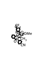 COC(CN(C(=O)Cc1ccc(OC(F)(F)F)cc1)[C@H](C)c1nc2ccccc2c(=O)n1-c1ccc(C#N)cc1)OC